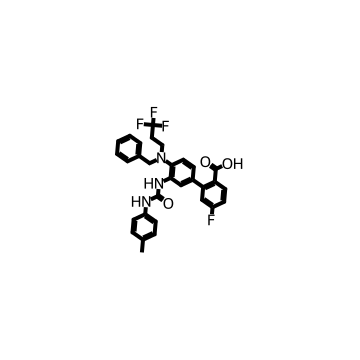 Cc1ccc(NC(=O)Nc2cc(-c3cc(F)ccc3C(=O)O)ccc2N(CCC(F)(F)F)Cc2ccccc2)cc1